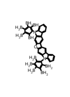 Bc1c(B)c(B)c(-n2c3ccccc3c3cc4c(cc32)oc2cc3c(cc24)c2ccccc2n3-c2c(B)c(B)c(B)c(B)c2B)c(B)c1B